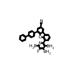 Bc1nc(-c2cccc3c2oc2c(-c4ccc(-c5ccccc5)cc4)cc(C#N)cc23)c(B)c(B)c1F